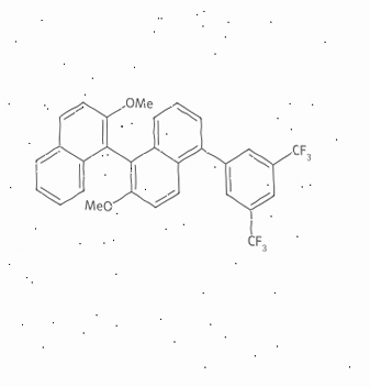 COc1ccc2ccccc2c1-c1c(OC)ccc2c(-c3cc(C(F)(F)F)cc(C(F)(F)F)c3)cccc12